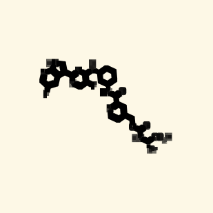 CC(C)[C@H](NC(=O)OCc1ccnc(C(=O)N[C@@H]2CCC[C@H](Nc3nc(-c4c[nH]c5ncc(F)cc45)ncc3F)C2)c1)C(=O)O